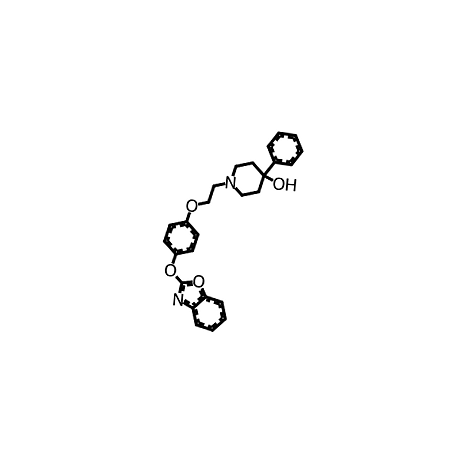 OC1(c2ccccc2)CCN(CCOc2ccc(Oc3nc4ccccc4o3)cc2)CC1